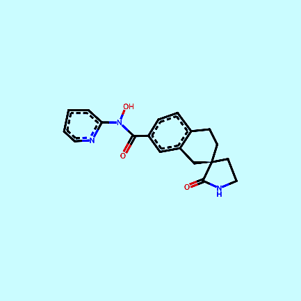 O=C(c1ccc2c(c1)C[C@]1(CCNC1=O)CC2)N(O)c1ccccn1